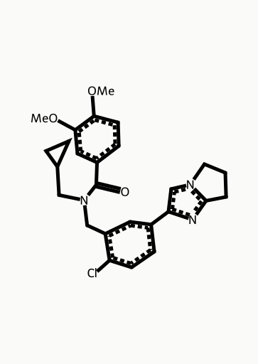 COc1ccc(C(=O)N(Cc2cc(-c3cn4c(n3)CCC4)ccc2Cl)CC2CC2)cc1OC